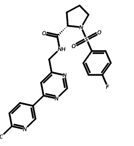 O=C(NCc1cc(-c2ccc(C(F)(F)F)nc2)ncn1)[C@@H]1CCCN1S(=O)(=O)c1ccc(F)cc1